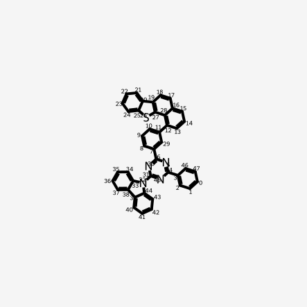 c1ccc(-c2nc(-c3cccc(-c4cccc5ccc6c7ccccc7sc6c45)c3)nc(-n3c4ccccc4c4ccccc43)n2)cc1